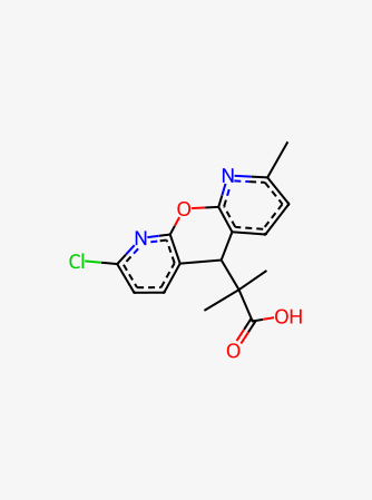 Cc1ccc2c(n1)Oc1nc(Cl)ccc1C2C(C)(C)C(=O)O